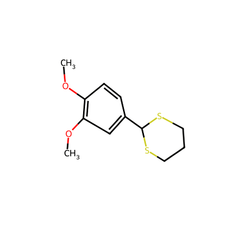 COc1ccc(C2SCCCS2)cc1OC